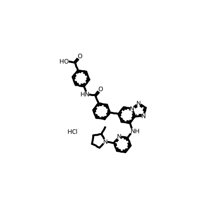 CC1CCCN1c1cccc(Nc2cc(-c3cccc(C(=O)Nc4ccc(C(=O)O)cc4)c3)cn3ncnc23)n1.Cl